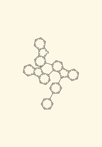 c1ccc(-c2ccc(-n3c4ccccc4c4ccc(-c5cccc6c5sc5ccccc56)c(-c5cccc6c5sc5ccccc56)c43)cc2)cc1